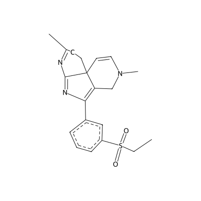 CCS(=O)(=O)c1cccc(C2=C3CN(C)C=CC34CCC(C)=NC4=N2)c1